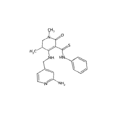 CC1CN(C)C(=O)C(C(=S)Nc2ccccc2)=C1NCc1ccnc(N)c1